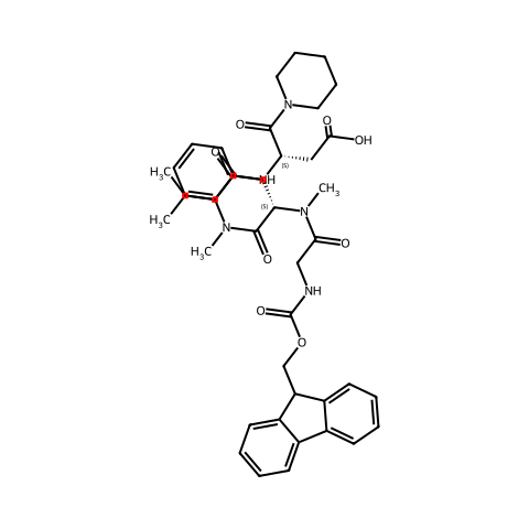 CC(C)C(C(=O)N[C@@H](CC(=O)O)C(=O)N1CCCCC1)N(C)C(=O)[C@H](Cc1ccccc1)N(C)C(=O)CNC(=O)OCC1c2ccccc2-c2ccccc21